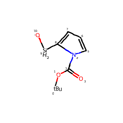 CC(C)(C)OC(=O)n1cccc1[SiH2][O]